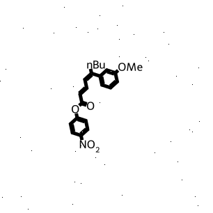 CCCCC(=CC=CC(=O)Oc1ccc([N+](=O)[O-])cc1)c1cccc(OC)c1